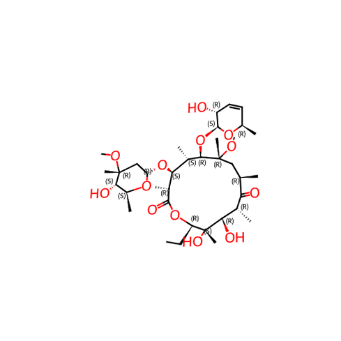 CC[C@H]1OC(=O)[C@H](C)[C@@H](O[C@H]2C[C@@](C)(OC)[C@@H](O)[C@H](C)O2)[C@H](C)[C@@H](O[C@@H]2O[C@H](C)C=C[C@H]2O)[C@](C)(OC)C[C@@H](C)C(=O)[C@H](C)[C@@H](O)[C@]1(C)O